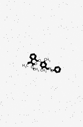 CC=C(C(=O)OC)c1ccccc1COc1cc(C)c(C=NOc2ccccc2)cc1C